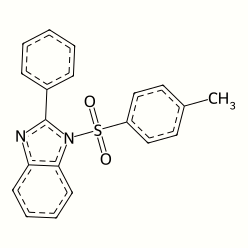 Cc1ccc(S(=O)(=O)n2c(-c3ccccc3)nc3ccccc32)cc1